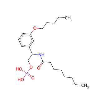 CCCCCCCC(=O)NC(COP(=O)(O)O)c1cccc(OCCCCC)c1